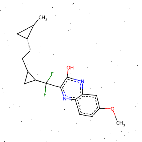 COc1ccc2nc(C(F)(F)C3CC3CC[C@@H]3CC3C)c(O)nc2c1